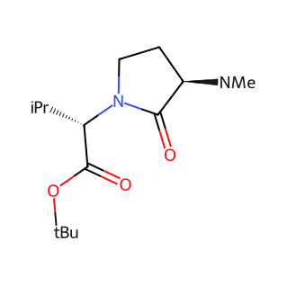 CN[C@@H]1CCN([C@H](C(=O)OC(C)(C)C)C(C)C)C1=O